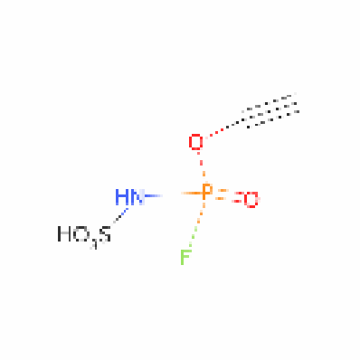 C#COP(=O)(F)NS(=O)(=O)O